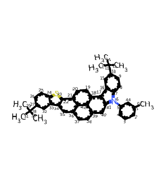 Cc1cccc(-n2c3ccc(C(C)(C)C)cc3c3c4ccc5c6sc7ccc(C(C)(C)C)cc7c6cc6ccc(cc32)c4c65)c1